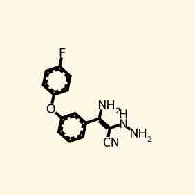 N#C/C(NN)=C(/N)c1cccc(Oc2ccc(F)cc2)c1